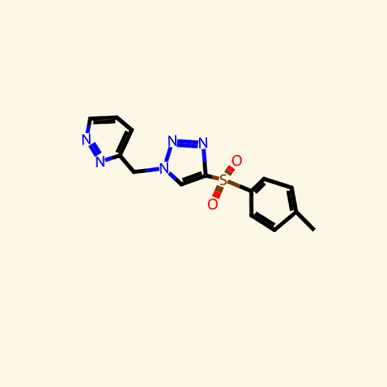 Cc1ccc(S(=O)(=O)c2cn(Cc3cccnn3)nn2)cc1